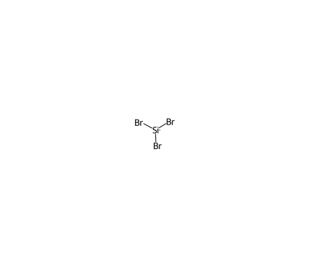 Br[Si](Br)Br